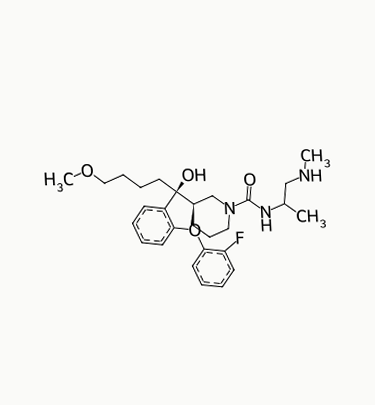 CNCC(C)NC(=O)N1CCC[C@@H]([C@@](O)(CCCCOC)c2ccccc2Oc2ccccc2F)C1